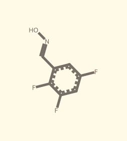 ON=Cc1cc(F)cc(F)c1F